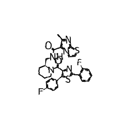 Cc1nc2sccn2c1C(=O)NC[C@@H]1CCCCN1C(=O)c1nc(-c2ccccc2F)sc1-c1ccc(F)cc1